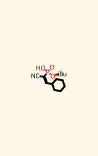 CCC(C)OP(=O)(O)C(C#N)=CC1CCCCC1